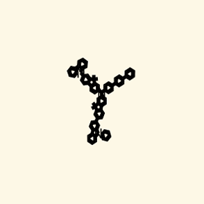 CC1(C)c2cc(-c3ccc4c5ccccc5n(-c5ccccc5)c4c3)ccc2-c2ccc(N(c3ccc(-c4ccc(-c5ccccc5)cc4)cc3)c3ccc4c(c3)C(C)(C)c3cc(-n5c6ccccc6c6ccccc65)ccc3-4)cc21